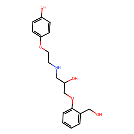 OCc1ccccc1OCC(O)CNCCOc1ccc(O)cc1